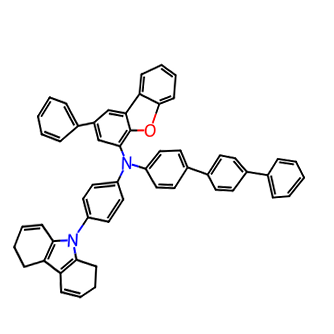 C1=Cc2c(c3c(n2-c2ccc(N(c4ccc(-c5ccc(-c6ccccc6)cc5)cc4)c4cc(-c5ccccc5)cc5c4oc4ccccc45)cc2)CCC=C3)CC1